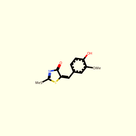 COc1cc(C=C2SC(SC)=NC2=O)ccc1O